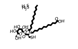 CCCCCCCCCCCC(=O)N(CCCCCCCCCCCC(=O)O)[C@@H](CS)C(=O)OC1O[C@H](CO)[C@@H](O)[C@H](O)[C@H]1O.S.S